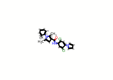 Cc1cc(C(=O)Nc2cc(Cl)c(-n3cccc3)cc2Cl)c(C)n1-c1ccccc1C(F)(F)F